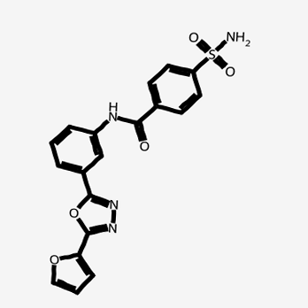 NS(=O)(=O)c1ccc(C(=O)Nc2cccc(-c3nnc(-c4ccco4)o3)c2)cc1